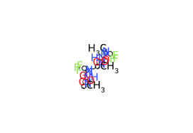 CCn1nc(C(=O)N[C@H]2COc3cc(CCn4nc(C(=O)N[C@H]5COc6ccccc6N(C)C5=O)c5c4CC[C@@H](C(F)(F)F)C5)ccc3N(C)C2=O)c2c1CC[C@H](C(F)(F)F)C2